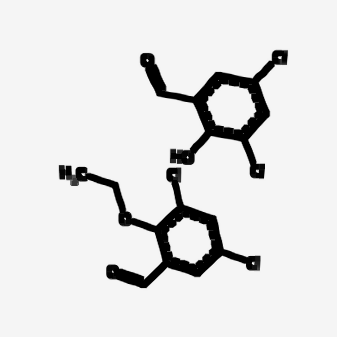 CCOc1c(Cl)cc(Cl)cc1C=O.O=Cc1cc(Cl)cc(Cl)c1O